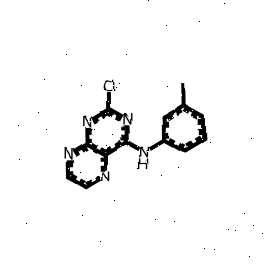 Cc1cccc(Nc2nc(Cl)nc3nccnc23)c1